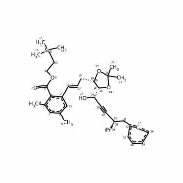 Cc1cc(C)c(C(=O)OCC[Si](C)(C)C)c(/C=C/C[C@@H]2OC(C)(C)O[C@@H]2C(O)C#C[C@@H](Cc2ccccc2)C(C)C)c1